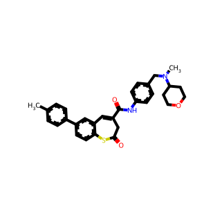 Cc1ccc(-c2ccc3c(c2)C=C(C(=O)Nc2ccc(CN(C)C4CCOCC4)cc2)CC(=O)S3)cc1